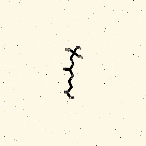 CC(C)(N)CCC(=O)OCCNO